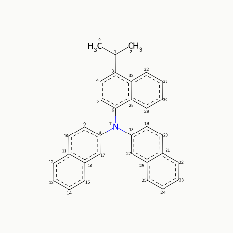 CC(C)c1ccc(N(c2ccc3ccccc3c2)c2ccc3ccccc3c2)c2ccccc12